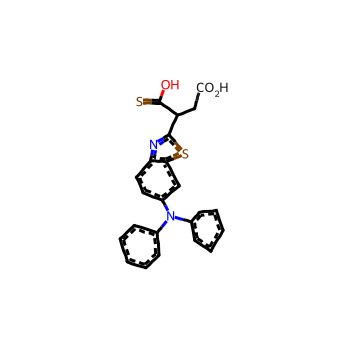 O=C(O)CC(C(O)=S)c1nc2ccc(N(c3ccccc3)c3ccccc3)cc2s1